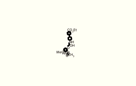 CCOC(=O)c1ccc(C2CCC(NC[C@H](O)COc3ccc(OC)c(NS(C)(=O)=O)c3)CC2)cc1